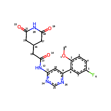 COc1ccc(F)cc1-c1cc(NC(=O)CC2CC(=O)NC(=O)C2)ncn1